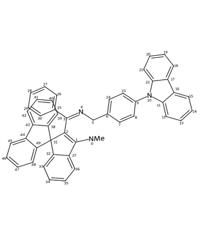 CNC1=C(/C(=N\Cc2ccc(-n3c4ccccc4c4ccccc43)cc2)c2ccccc2)C2(c3ccccc31)c1ccccc1-c1ccccc12